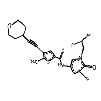 N#Cc1sc(C(=O)Nc2cc(F)c(=O)n(CC(F)F)c2)cc1C#CC1CCOCC1